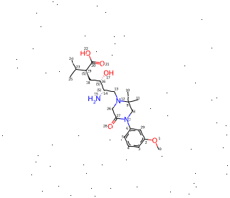 COc1cccc(N2CC(C)(C)N(C[C@H](N)[C@@H](O)C[C@H](C(=O)O)C(C)C)CC2=O)c1